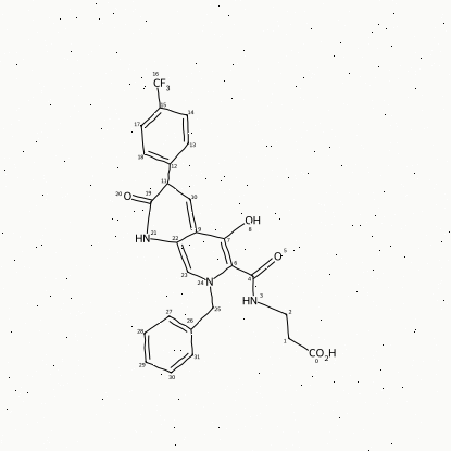 O=C(O)CCNC(=O)C1=C(O)C2=CC(c3ccc(C(F)(F)F)cc3)C(=O)NC2=CN1Cc1ccccc1